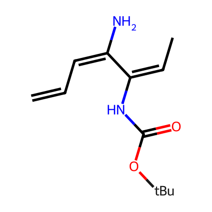 C=C/C=C(N)\C(=C/C)NC(=O)OC(C)(C)C